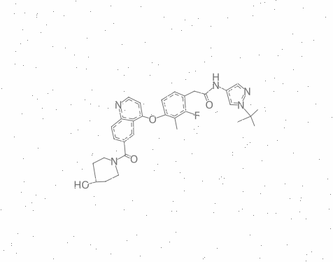 Cc1c(Oc2ccnc3ccc(C(=O)N4CCC(O)CC4)cc23)ccc(CC(=O)Nc2cnn(C(C)(C)C)c2)c1F